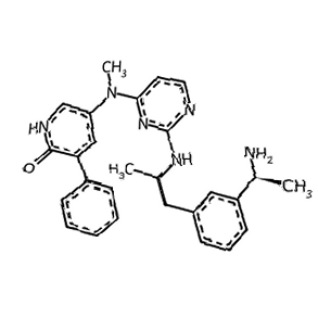 CC(Cc1cccc([C@H](C)N)c1)Nc1nccc(N(C)c2c[nH]c(=O)c(-c3ccccc3)c2)n1